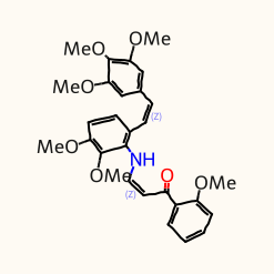 COc1ccccc1C(=O)/C=C\Nc1c(/C=C\c2cc(OC)c(OC)c(OC)c2)ccc(OC)c1OC